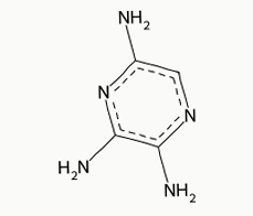 Nc1cnc(N)c(N)n1